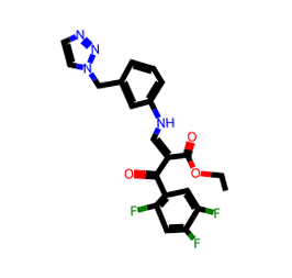 CCOC(=O)C(=CNc1cccc(Cn2ccnn2)c1)C(=O)c1cc(F)c(F)cc1F